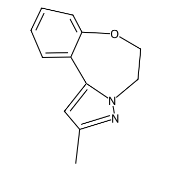 Cc1cc2n(n1)CCOc1ccccc1-2